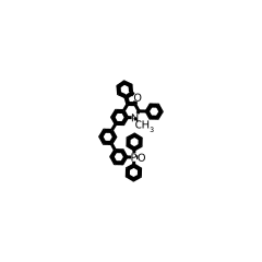 CN1c2cc(-c3cccc(-c4cccc(P(=O)(c5ccccc5)c5ccccc5)c4)c3)ccc2-c2c(oc3ccccc23)C1c1ccccc1